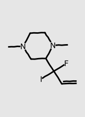 C=CC(F)(I)C1CN(C)CCN1C